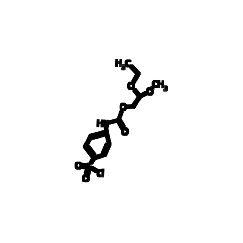 CCOC(COC(=O)Nc1ccc(S(=O)(=O)Cl)cc1)OC